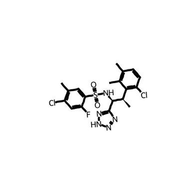 Cc1cc(S(=O)(=O)N[C@H](c2nn[nH]n2)[C@H](C)c2c(Cl)ccc(C)c2C)c(F)cc1Cl